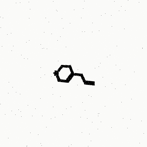 C=CCC1=CC[N]CC1